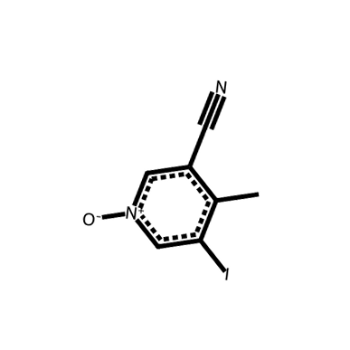 Cc1c(I)c[n+]([O-])cc1C#N